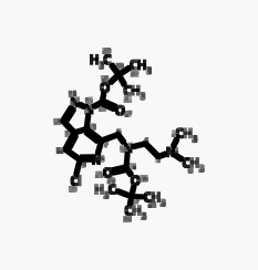 CN(C)CCN(Cc1nc(Cl)cc2cnn(C(=O)OC(C)(C)C)c12)C(=O)OC(C)(C)C